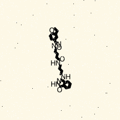 O=C(CCCc1nc(-c2ccc3c(c2)CCO3)no1)NCCCCNc1n[nH]c(=O)c2ccccc12